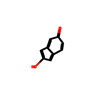 O=C1C=CC2=CC(O)=CC2=C1